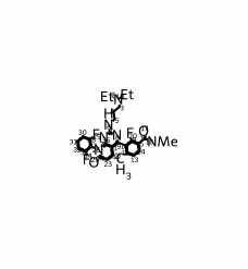 CCN(CC)CCCNc1nc(-c2c(C)ccc(C(=O)NC)c2F)c2ccc(=O)n(-c3c(F)cccc3F)c2n1